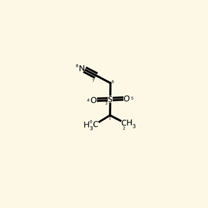 CC(C)S(=O)(=O)CC#N